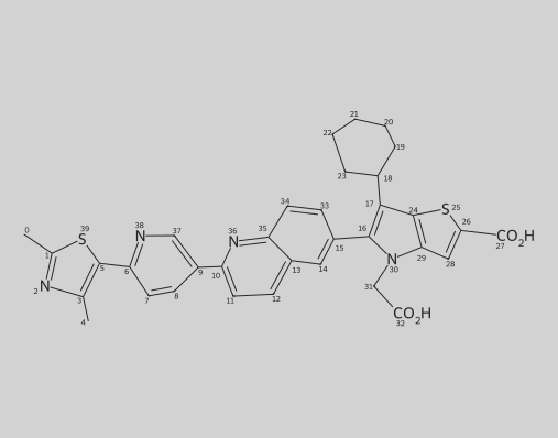 Cc1nc(C)c(-c2ccc(-c3ccc4cc(-c5c(C6CCCCC6)c6sc(C(=O)O)cc6n5CC(=O)O)ccc4n3)cn2)s1